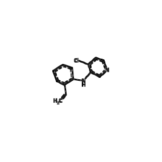 C=Cc1ccccc1Nc1cnccc1Cl